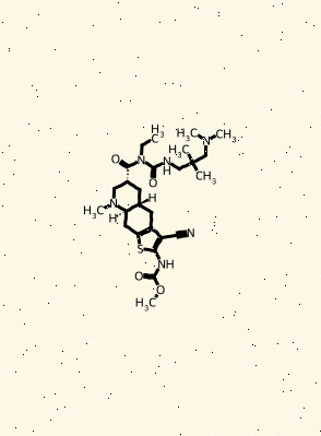 CCN(C(=O)NCC(C)(C)CN(C)C)C(=O)[C@@H]1C[C@@H]2Cc3c(sc(NC(=O)OC)c3C#N)C[C@H]2N(C)C1